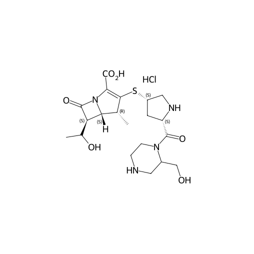 CC(O)[C@H]1C(=O)N2C(C(=O)O)=C(S[C@@H]3CN[C@H](C(=O)N4CCNCC4CO)C3)[C@H](C)[C@H]12.Cl